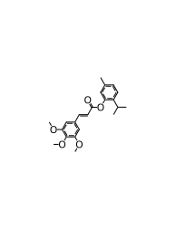 COc1cc(/C=C/C(=O)Oc2cc(C)ccc2C(C)C)cc(OC)c1OC